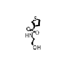 O=S(=O)(NCCO)c1ccsc1